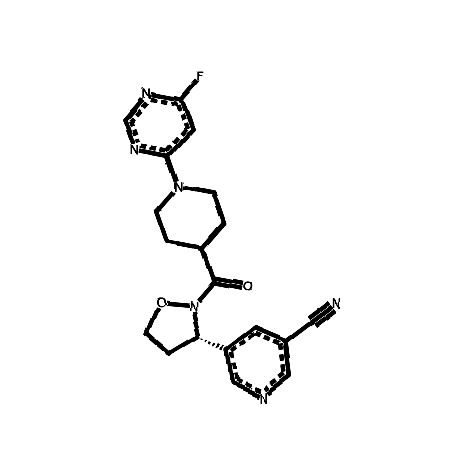 N#Cc1cncc([C@@H]2CCON2C(=O)C2CCN(c3cc(F)ncn3)CC2)c1